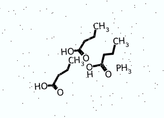 CCCC(=O)O.CCCC(=O)O.CCCC(=O)O.P